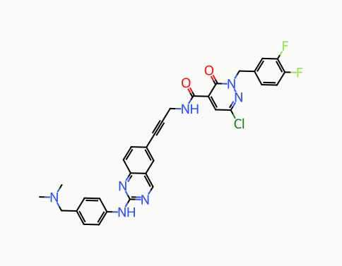 CN(C)Cc1ccc(Nc2ncc3cc(C#CCNC(=O)c4cc(Cl)nn(Cc5ccc(F)c(F)c5)c4=O)ccc3n2)cc1